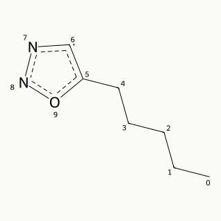 CCCCCc1[c]nno1